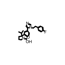 CC(C)C1(c2cccc(-c3cncn3CCc3ccc(F)cc3)c2)CCCN1C(=O)O